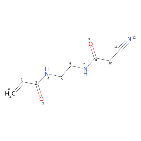 C=CC(=O)NCCNC(=O)CC#N